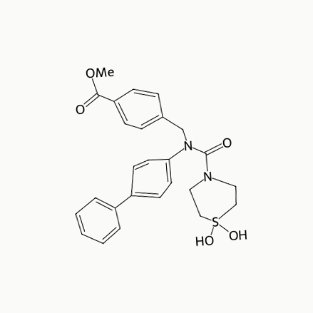 COC(=O)c1ccc(CN(C(=O)N2CCS(O)(O)CC2)c2ccc(-c3ccccc3)cc2)cc1